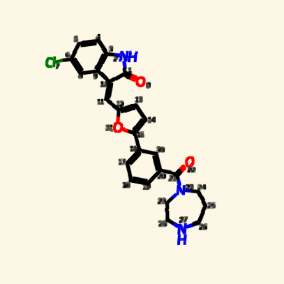 O=C1Nc2ccc(Cl)cc2C1=Cc1ccc(-c2cccc(C(=O)N3CCCNCC3)c2)o1